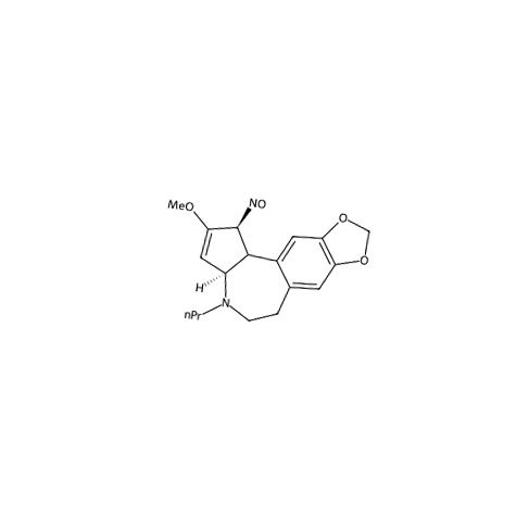 CCCN1CCc2cc3c(cc2C2[C@H](N=O)C(OC)=C[C@@H]21)OCO3